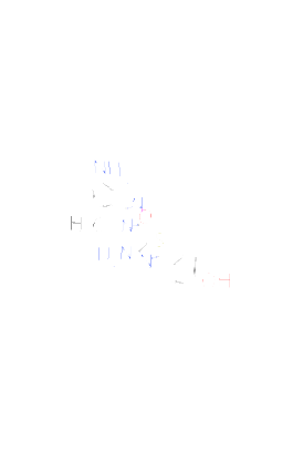 Cc1ccc(N)cc1-c1noc(-c2sc(-c3ccc(O)cc3)nc2N)n1